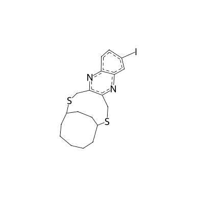 Ic1ccc2nc3c(nc2c1)CSC1CCCCCC(CC1)SC3